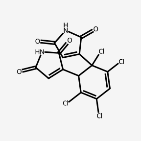 O=C1C=C(C2C(Cl)=C(Cl)C=C(Cl)C2(Cl)C2=CC(=O)NC2=O)C(=O)N1